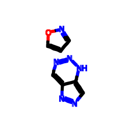 c1cnoc1.c1nn[nH]c2cnnc1-2